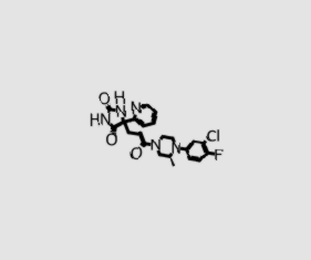 C[C@H]1CN(C(=O)CCC2(c3ccccn3)NC(=O)NC2=O)CCN1c1ccc(F)c(Cl)c1